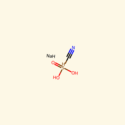 N#C[SH](=O)(O)O.[NaH]